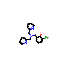 Oc1c(Br)cccc1CN(Cc1ccccn1)Cc1ccccn1